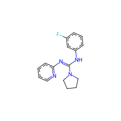 Fc1cccc(NC(=Nc2ccccn2)N2CCCC2)c1